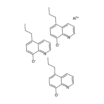 CCCc1ccc([O-])c2ncccc12.CCCc1ccc([O-])c2ncccc12.CCCc1ccc([O-])c2ncccc12.[Al+3]